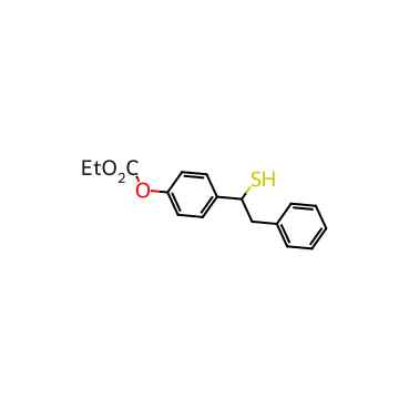 CCOC(=O)Oc1ccc(C(S)Cc2ccccc2)cc1